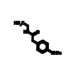 CC(=O)Nc1ccc(CC(=O)NCC(=O)O)cc1